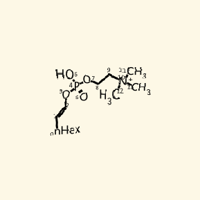 CCCCCCC=COP(=O)(O)OCC[N+](C)(C)C